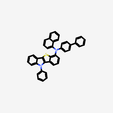 c1ccc(-c2ccc(N(c3cccc4ccccc34)c3cccc4c3sc3c5ccccc5n(-c5ccccc5)c43)cc2)cc1